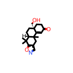 CC12Cc3cnoc3C(C)(C)[C@@H]1CC[C@@]1(CO)CCC(=O)C=C21